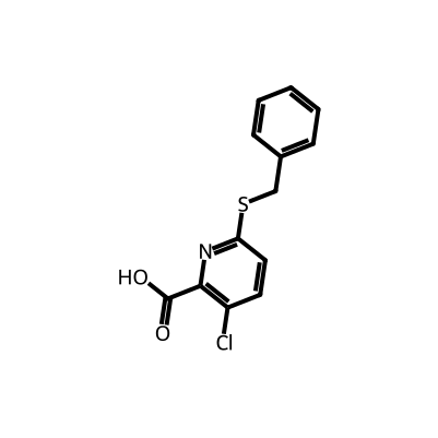 O=C(O)c1nc(SCc2ccccc2)ccc1Cl